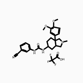 COc1ccc(C23CCC(NC(=O)Nc4cccc(C#N)c4)CC2CN(C)C3)cc1OC.O=C(O)C(F)(F)F